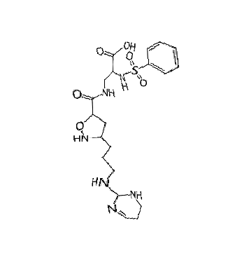 O=C(O)C(CNC(=O)C1CC(CCCNC2N=CCCN2)NO1)NS(=O)(=O)c1ccccc1